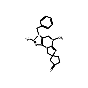 Cc1nc2c(n1Cc1ccccc1)CN(C)C1=NC3(CCC(=O)C3)CN12